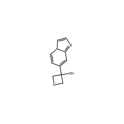 OC1(c2ccn3ccnc3c2)COC1